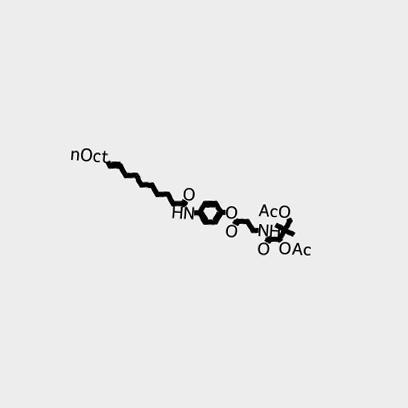 CCCCCCCCC=CCCCCCCCC(=O)Nc1ccc(OC(=O)CCNC(=O)C(OC(C)=O)C(C)(C)COC(C)=O)cc1